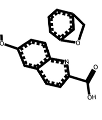 COc1ccc2nc(C(=O)O)ccc2c1.c1cc2cc(c1)OC2